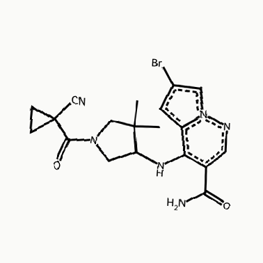 CC1(C)CN(C(=O)C2(C#N)CC2)CC1Nc1c(C(N)=O)cnn2cc(Br)cc12